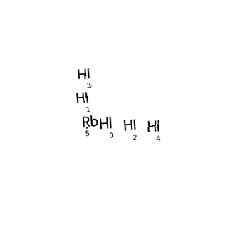 I.I.I.I.I.[Rb]